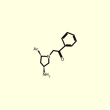 CC(=O)[C@@H]1C[C@H](N)CN1CC(=O)c1ccccc1